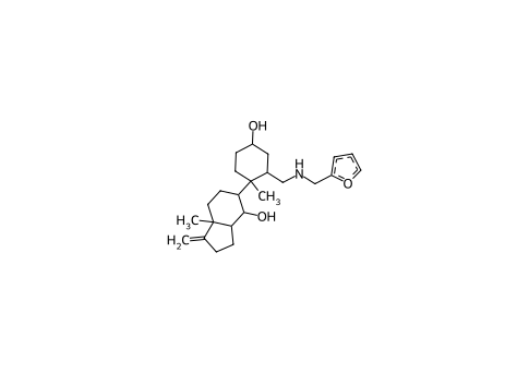 C=C1CCC2C(O)C(C3(C)CCC(O)CC3CNCc3ccco3)CCC12C